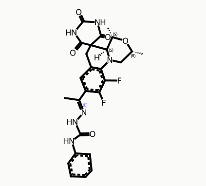 C/C(=N\NC(=O)Nc1ccccc1)c1cc2c(c(F)c1F)N1C[C@@H](C)O[C@@H](C)[C@@H]1C1(C2)C(=O)NC(=O)NC1=O